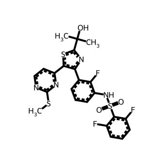 CSc1nccc(-c2sc(C(C)(C)O)nc2-c2cccc(NS(=O)(=O)c3c(F)cccc3F)c2F)n1